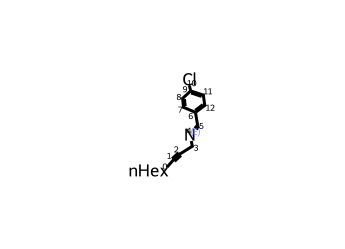 CCCCCCC#CC/N=C/c1ccc(Cl)cc1